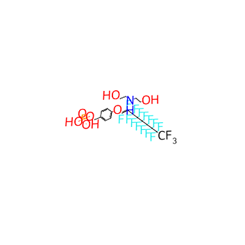 O=P(O)(O)OCc1ccc(OC(F)=C(F)C(F)(F)C(F)(F)C(F)(F)C(F)(F)C(F)(F)C(F)(F)C(F)(F)F)cc1.OCCNCCO